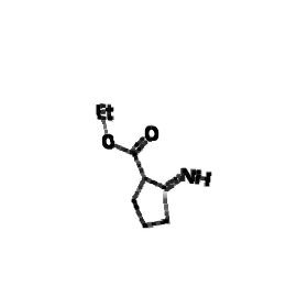 CCOC(=O)C1CCCC1=N